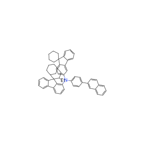 CCC1CC2CCCC(C2)C12c1ccccc1-c1cccc(N(c3ccc(-c4ccc5ccccc5c4)cc3)c3ccc4c(c3)-c3ccccc3C43CCCCC3)c12